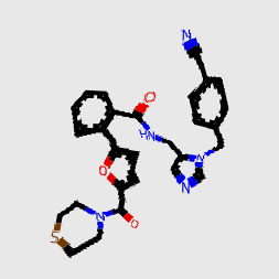 N#Cc1ccc(Cn2cncc2CNC(=O)c2ccccc2-c2ccc(C(=O)N3CCSCC3)o2)cc1